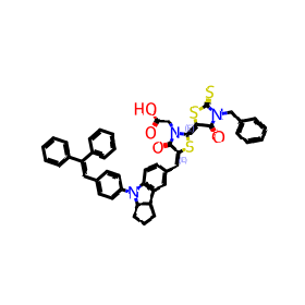 O=C(O)Cn1c(=O)/c(=C\c2ccc3c(c2)C2CCCC2N3c2ccc(C=C(c3ccccc3)c3ccccc3)cc2)s/c1=C1/SC(=S)N(Cc2ccccc2)C1=O